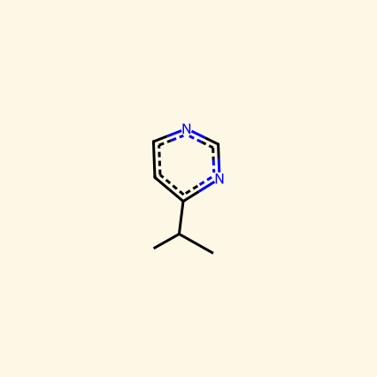 CC(C)c1ccncn1